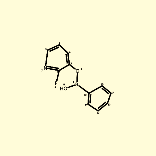 OB(Oc1cccnc1F)c1ccccc1